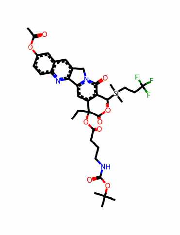 CCC1(OC(=O)CCCNC(=O)OC(C)(C)C)C(=O)OC([Si](C)(C)CCC(F)(F)F)c2c1cc1n(c2=O)Cc2cc3cc(OC(C)=O)ccc3nc2-1